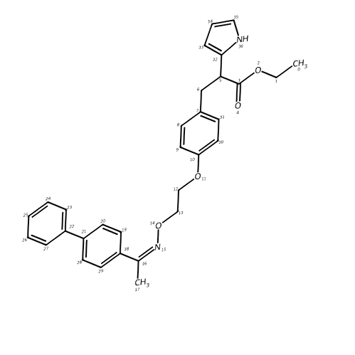 CCOC(=O)C(Cc1ccc(OCCON=C(C)c2ccc(-c3ccccc3)cc2)cc1)c1ccc[nH]1